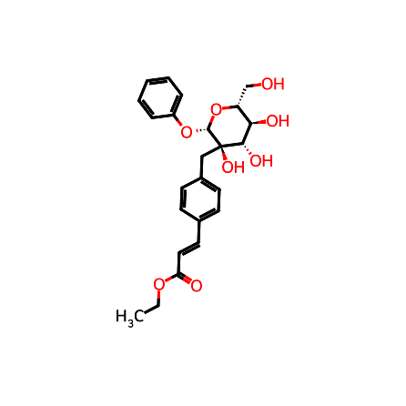 CCOC(=O)/C=C/c1ccc(C[C@]2(O)[C@H](Oc3ccccc3)O[C@H](CO)[C@@H](O)[C@@H]2O)cc1